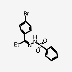 CCC(=NNS(=O)(=O)c1ccccc1)c1ccc(Br)cc1